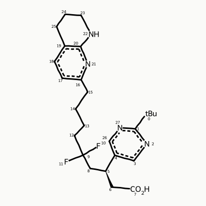 CC(C)(C)c1ncc([C@@H](CC(=O)O)CC(F)(F)CCCCc2ccc3c(n2)NCCC3)cn1